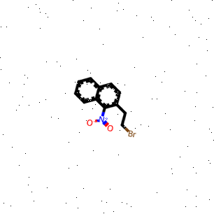 O=[N+]([O-])c1c(CCBr)ccc2ccccc12